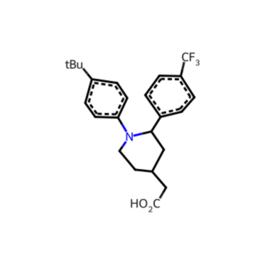 CC(C)(C)c1ccc(N2CCC(CC(=O)O)CC2c2ccc(C(F)(F)F)cc2)cc1